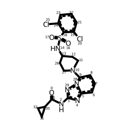 O=C(Nc1nc2cccc(N3CCC(NS(=O)(=O)c4c(Cl)cccc4Cl)CC3)n2n1)C1CC1